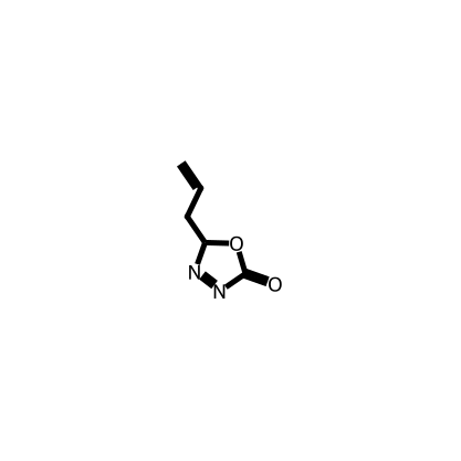 C=CCC1N=NC(=O)O1